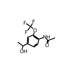 CC(=O)Nc1ccc(C(C)O)cc1OC(F)(F)F